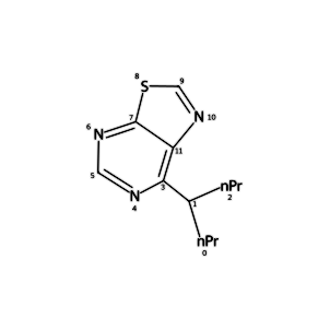 CCCC(CCC)c1ncnc2scnc12